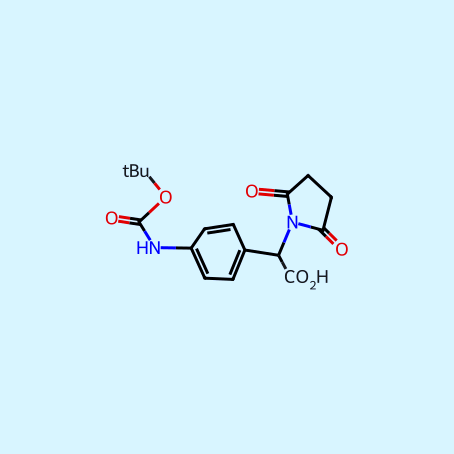 CC(C)(C)OC(=O)Nc1ccc(C(C(=O)O)N2C(=O)CCC2=O)cc1